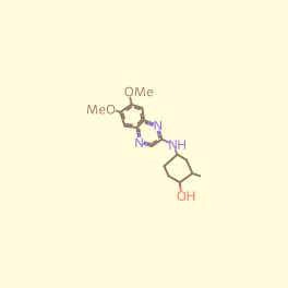 COc1cc2ncc(NC3CCC(O)C(C)C3)nc2cc1OC